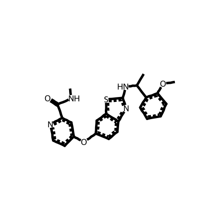 CNC(=O)c1cc(Oc2ccc3nc(NC(C)c4ccccc4OC)sc3c2)ccn1